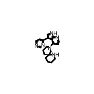 c1cc(-c2c[nH]c3nccc(N4CCC[C@@]5(CCCCN5)C4)c23)ncn1